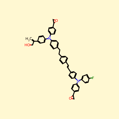 C=C(CO)c1ccc(N(c2ccc(CCc3ccc(C=Cc4ccc(N(c5ccc(F)cc5)c5ccc(C6CO6)cc5)cc4)cc3)cc2)c2ccc(C3CO3)cc2)cc1